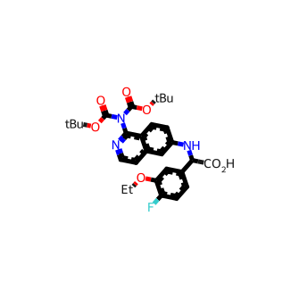 CCOc1cc(C(Nc2ccc3c(N(C(=O)OC(C)(C)C)C(=O)OC(C)(C)C)nccc3c2)C(=O)O)ccc1F